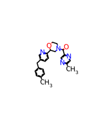 Cc1ccc(Cc2ccc(C3CN(C(=O)c4cnc(C)cn4)CCO3)nc2)cc1